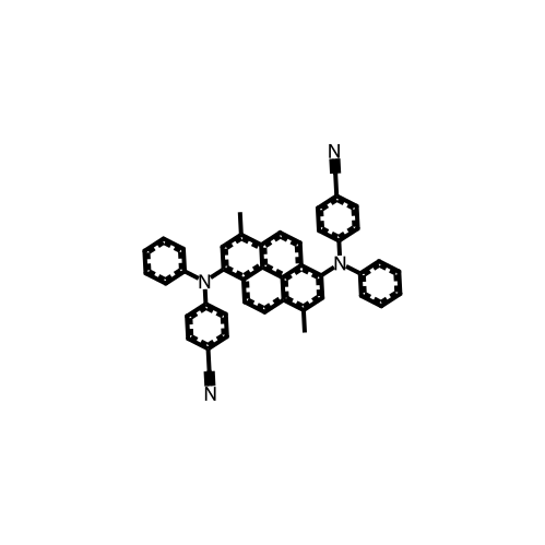 Cc1cc(N(c2ccccc2)c2ccc(C#N)cc2)c2ccc3c(C)cc(N(c4ccccc4)c4ccc(C#N)cc4)c4ccc1c2c34